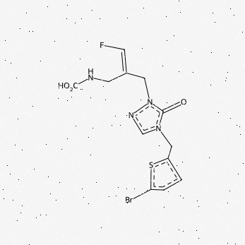 O=C(O)NC/C(=C\F)Cn1ncn(Cc2ccc(Br)s2)c1=O